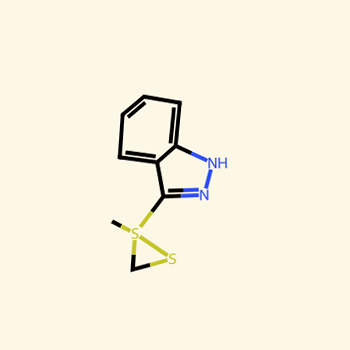 CS1(c2n[nH]c3ccccc23)CS1